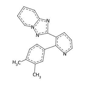 Cc1ccc(-c2ncccc2-c2nc3ccccn3n2)cc1C